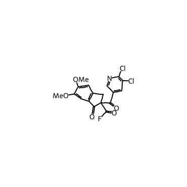 COc1cc2c(cc1OC)C(=O)C(C(=O)F)(C(=O)c1cnc(Cl)c(Cl)c1)C2